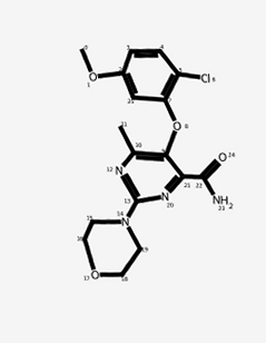 COc1ccc(Cl)c(Oc2c(C)nc(N3CCOCC3)nc2C(N)=O)c1